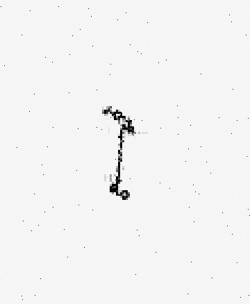 Cc1ncsc1-c1ccc(CNC(=O)[C@@H]2C[C@@H](O)CN2C(=O)[C@@H](NC(=O)CCOCCOCCOCCNC(=O)c2ccc(=O)n(Cc3ccccc3)n2)C(C)(C)C)cc1